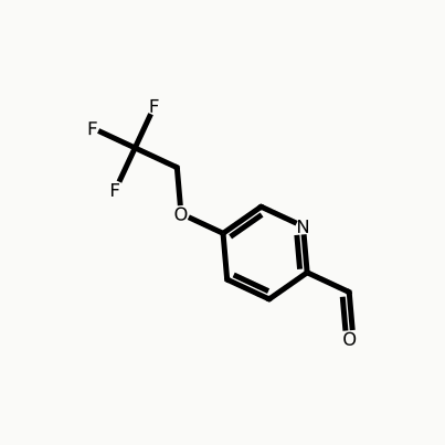 O=Cc1ccc(OCC(F)(F)F)cn1